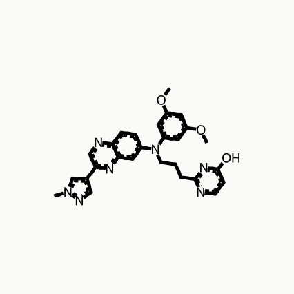 COc1cc(OC)cc(N(CCCc2nccc(O)n2)c2ccc3ncc(-c4cnn(C)c4)nc3c2)c1